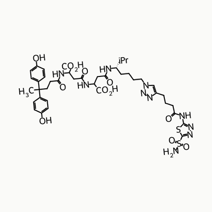 CC(C)[C@H](CCCCn1cc(CCCC(=O)Nc2nnc(S(N)(=O)=O)s2)nn1)NC(=O)CC(NC(=O)CC(NC(=O)CCC(C)(c1ccc(O)cc1)c1ccc(O)cc1)C(=O)O)C(=O)O